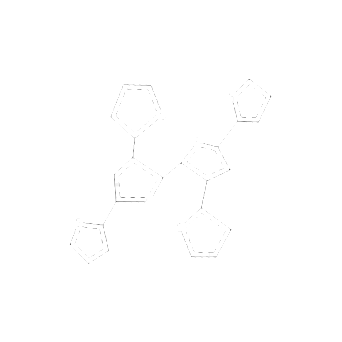 c1csc(-c2cc(-c3cccs3)c(-c3sc(-c4cccs4)cc3-c3cccs3)s2)c1